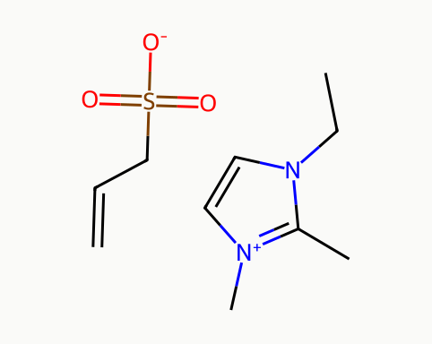 C=CCS(=O)(=O)[O-].CCn1cc[n+](C)c1C